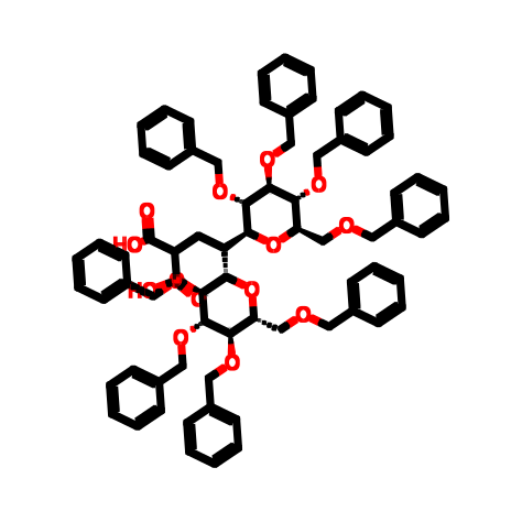 O=C(O)C(CC([C@@H]1O[C@H](COCc2ccccc2)[C@@H](OCc2ccccc2)[C@H](OCc2ccccc2)[C@H]1OCc1ccccc1)[C@@H]1O[C@H](COCc2ccccc2)[C@@H](OCc2ccccc2)[C@H](OCc2ccccc2)[C@H]1OCc1ccccc1)C(=O)O